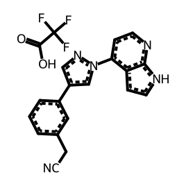 N#CCc1cccc(-c2cnn(-c3ccnc4[nH]ccc34)c2)c1.O=C(O)C(F)(F)F